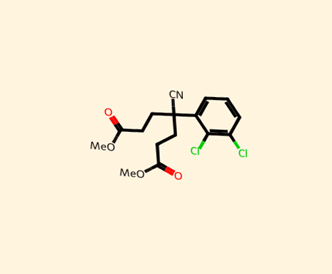 COC(=O)CCC(C#N)(CCC(=O)OC)c1cccc(Cl)c1Cl